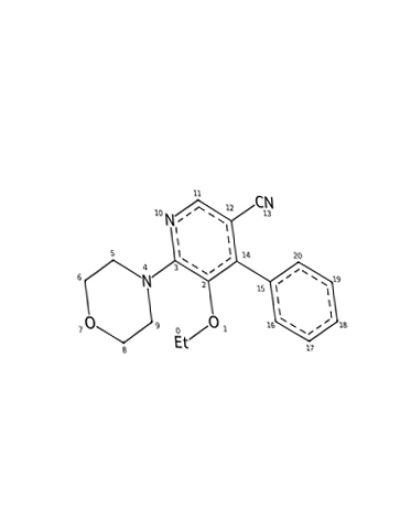 CCOc1c(N2CCOCC2)ncc(C#N)c1-c1ccccc1